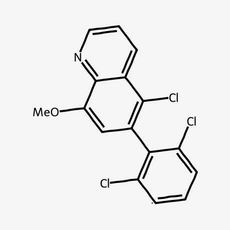 COc1cc(-c2c(Cl)[c]ccc2Cl)c(Cl)c2cccnc12